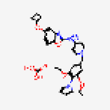 CCOc1cc(CN2CCC(Nc3nc4cc(OC5CCC5)ccc4o3)CC2)cc(OCC)c1-n1cccc1.O=C(O)O